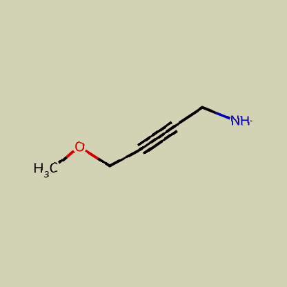 COCC#CC[NH]